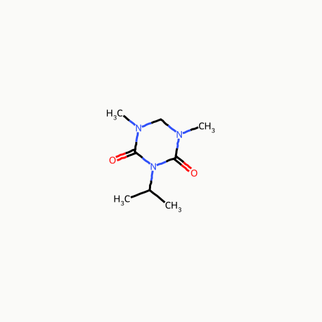 CC(C)N1C(=O)N(C)CN(C)C1=O